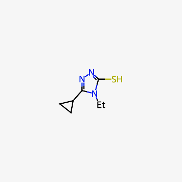 CCn1c(S)nnc1C1CC1